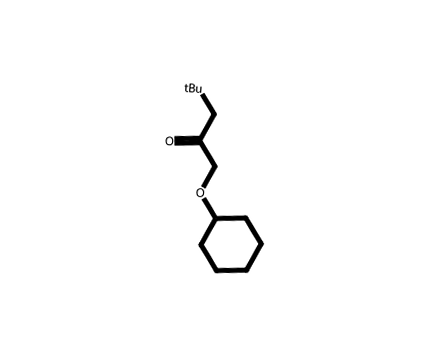 CC(C)(C)CC(=O)COC1CCCCC1